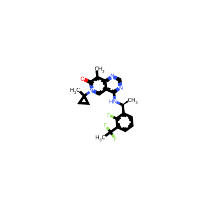 Cc1c(=O)n(C2(C)CC2)cc2c(N[C@@H](C)c3cccc(C(C)(F)F)c3F)ncnc12